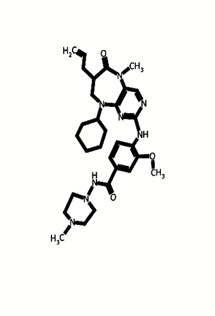 C=CCC1CN(C2CCCCC2)c2nc(Nc3ccc(C(=O)NN4CCN(C)CC4)cc3OC)ncc2N(C)C1=O